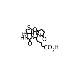 O=C(O)CCCC(N1C(=O)CCC1=O)N1C(=O)N[C@@H]2CSC[C@@H]21